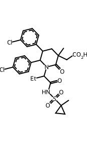 CCC(C(=O)NS(=O)(=O)C1(C)CC1)N1C(=O)C(C)(CC(=O)O)CC(c2cccc(Cl)c2)C1c1ccc(Cl)cc1